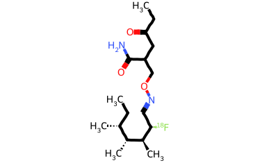 CCC(=O)CC(CO/N=C/[C@H]([18F])[C@@H](C)[C@H](C)[C@H](C)CC)C(N)=O